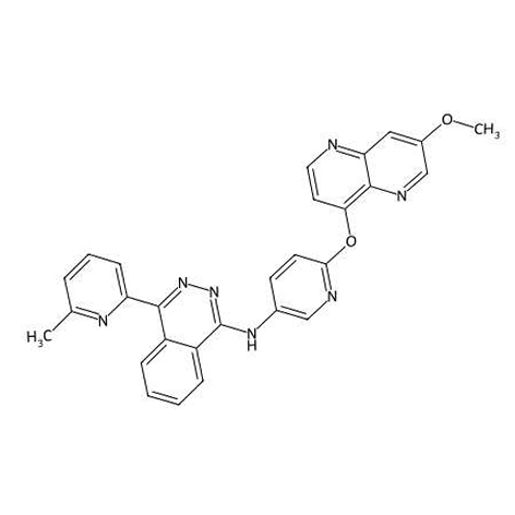 COc1cnc2c(Oc3ccc(Nc4nnc(-c5cccc(C)n5)c5ccccc45)cn3)ccnc2c1